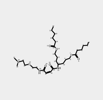 CCCCCC(=O)OCCCC(CCCOC(=O)CCCCC)NC(=O)/C=C\C(=O)NCCOCCN(C)C